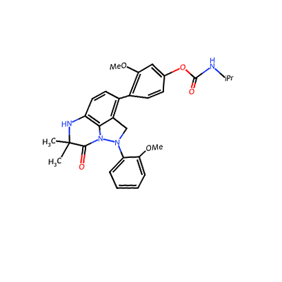 COc1cc(OC(=O)NC(C)C)ccc1-c1ccc2c3c1CN(c1ccccc1OC)N3C(=O)C(C)(C)N2